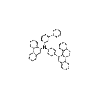 c1ccc(-c2cccc(N(c3ccc(-c4cc5ccccc5c5ccc6ccccc6c45)cc3)c3cc4ccccc4c4ccccc34)c2)cc1